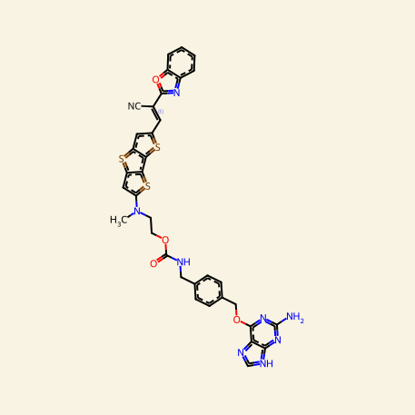 CN(CCOC(=O)NCc1ccc(COc2nc(N)nc3[nH]cnc23)cc1)c1cc2sc3cc(/C=C(\C#N)c4nc5ccccc5o4)sc3c2s1